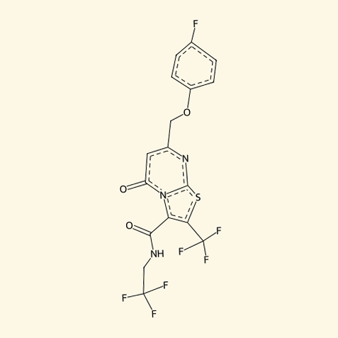 O=C(NCC(F)(F)F)c1c(C(F)(F)F)sc2nc(COc3ccc(F)cc3)cc(=O)n12